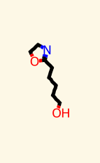 OCCCCCC1=NCCO1